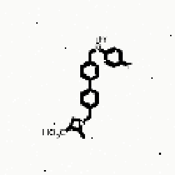 CC1C(C(=O)O)CN1Cc1ccc(-c2ccc(CN(c3ccc(F)cc3)C(C)C)cc2)cc1